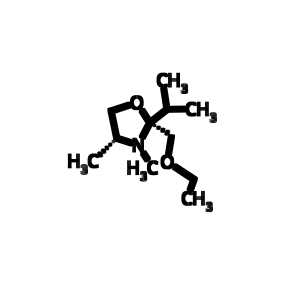 CCOC[C@@]1(C(C)C)OC[C@@H](C)N1C